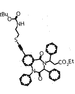 CCOC(=O)CC(c1ccccc1)N1C(=O)c2cc(C#CSCCNC(=O)OC(C)(C)C)ccc2N(c2ccccc2)C(=O)C1c1ccccc1